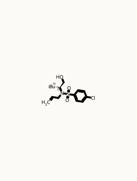 C=CCN([C@H](CO)[C@@H](C)CC)S(=O)(=O)c1ccc(Cl)cc1